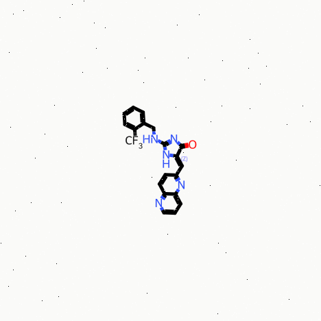 O=C1N=C(NCc2ccccc2C(F)(F)F)N/C1=C\c1ccc2ncccc2n1